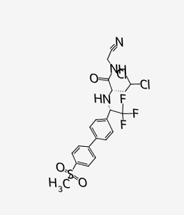 CS(=O)(=O)c1ccc(-c2ccc([C@H](N[C@@H](CC(Cl)Cl)C(=O)NCC#N)C(F)(F)F)cc2)cc1